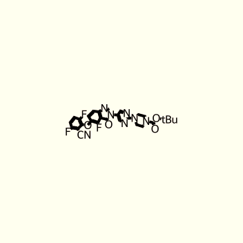 CC(C)(C)OC(=O)N1CCN(c2ncc(-n3cnc4ccc(Oc5c(F)ccc(F)c5C#N)c(F)c4c3=O)cn2)CC1